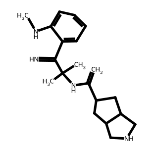 C=C(NC(C)(C)C(=N)c1ccccc1NC)C1CC2CNCC2C1